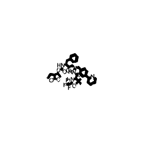 CC(C)(C)C(NC(=O)C(F)(F)F)C(=O)NN(Cc1ccc(-c2ccccn2)cc1)CC(O)C(Cc1ccccc1)NC(=O)OC1COC2OCCC12